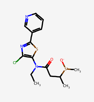 CCN(C(=O)CC(C)[S+](C)[O-])c1sc(-c2cccnc2)nc1Cl